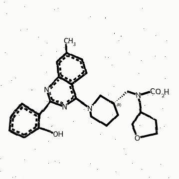 Cc1ccc2c(N3CCC[C@@H](CN(C(=O)O)C4CCOC4)C3)nc(-c3ccccc3O)nc2c1